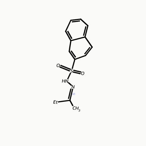 CC/C(C)=N\NS(=O)(=O)c1ccc2ccccc2c1